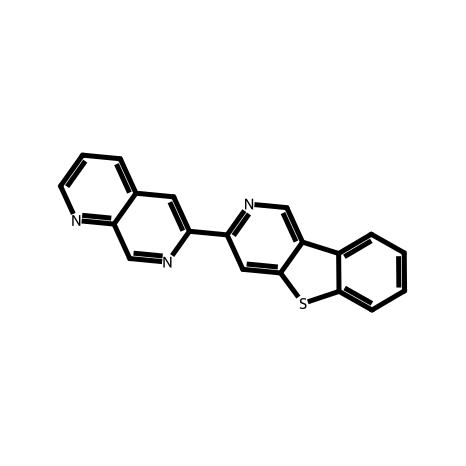 c1cnc2cnc(-c3cc4sc5ccccc5c4cn3)cc2c1